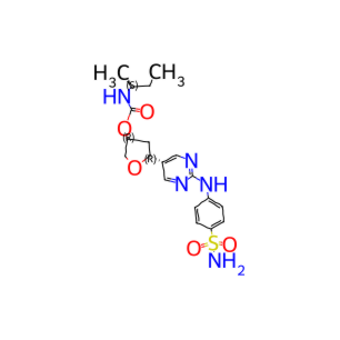 CC[C@H](C)NC(=O)O[C@H]1CO[C@@H](c2cnc(Nc3ccc(S(N)(=O)=O)cc3)nc2)C1